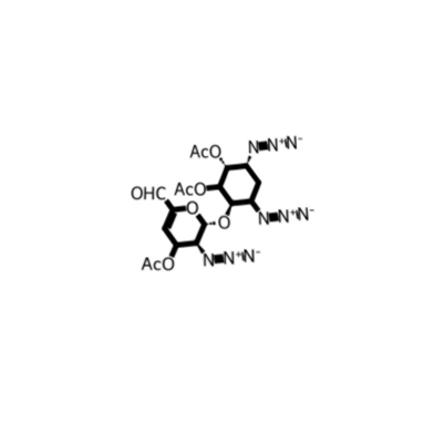 CC(=O)OC1C=C(C=O)O[C@H](O[C@@H]2C(N=[N+]=[N-])C[C@@H](N=[N+]=[N-])[C@@H](OC(C)=O)C2OC(C)=O)[C@H]1N=[N+]=[N-]